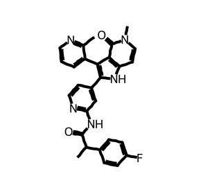 Cc1ncccc1-c1c(-c2ccnc(NC(=O)C(C)c3ccc(F)cc3)c2)[nH]c2ccn(C)c(=O)c12